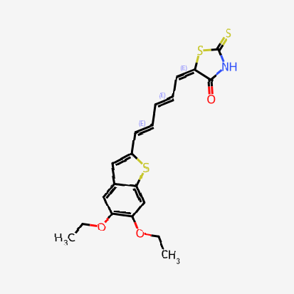 CCOc1cc2cc(/C=C/C=C/C=C3/SC(=S)NC3=O)sc2cc1OCC